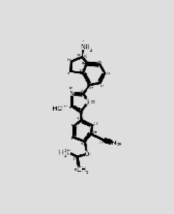 CC(C)Oc1ccc(-c2cnc(-c3cccc4c3CC[C@H]4N)s2)cc1C#N.Cl